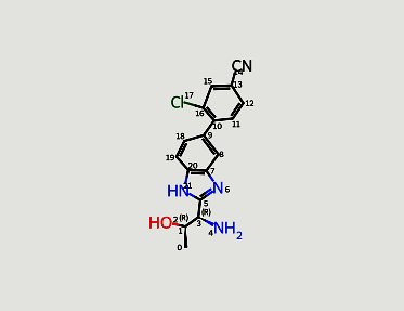 C[C@@H](O)[C@H](N)c1nc2cc(-c3ccc(C#N)cc3Cl)ccc2[nH]1